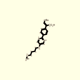 CCCCC=C(C(=O)O)c1ccc(-c2ncc(OCCCCOCCC)cn2)cc1